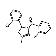 CC1=NN(C(=O)c2ccccc2F)C(c2ccccc2Cl)C1